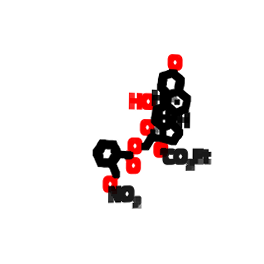 CCOC(=O)O[C@]1(C(=O)COC(=O)c2ccccc2CO[N+](=O)[O-])CC[C@H]2[C@@H]3CCC4=CC(=O)C=C[C@]4(C)[C@H]3[C@@H](O)C[C@@]21C